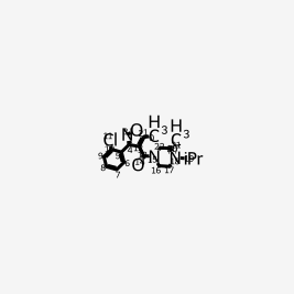 Cc1onc(-c2ccccc2Cl)c1C(=O)N1CCN(C(C)C)[C@H](C)C1